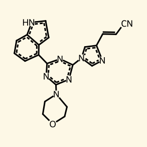 N#CC=Cc1cn(-c2nc(-c3cccc4[nH]ccc34)nc(N3CCOCC3)n2)cn1